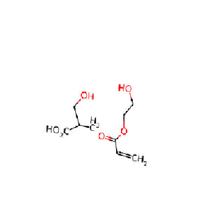 C=CC(=O)OCCO.CC(CO)C(=O)O